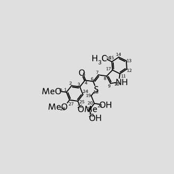 COc1cc(C(=O)/C(=C/c2c[nH]c3cccc(C)c23)SCC(O)CO)cc(OC)c1OC